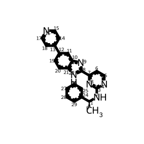 C[C@H](Nc1nccc(-c2nc3cc(-c4ccncc4)ccc3[nH]2)n1)c1ccccc1